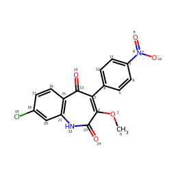 COc1c(-c2ccc([N+](=O)[O-])cc2)c(=O)c2ccc(Cl)cc2[nH]c1=O